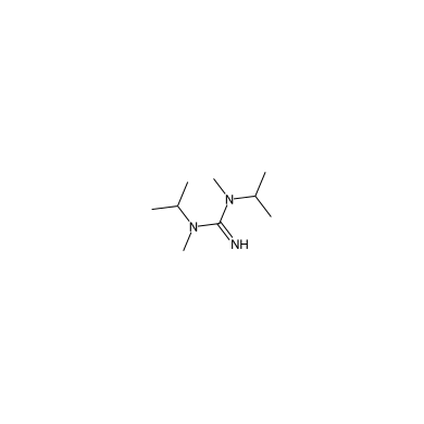 CC(C)N(C)C(=N)N(C)C(C)C